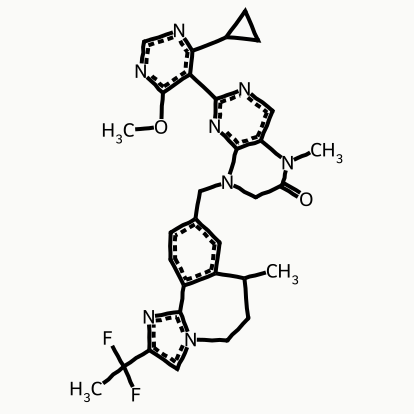 COc1ncnc(C2CC2)c1-c1ncc2c(n1)N(Cc1ccc3c(c1)C(C)CCn1cc(C(C)(F)F)nc1-3)CC(=O)N2C